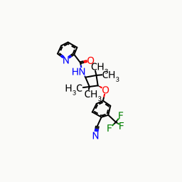 CC1(C)[C@H](NC(=O)c2ccccn2)C(C)(C)[C@H]1Oc1ccc(C#N)c(C(F)(F)F)c1